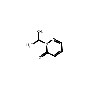 CC(C)n1ncccc1=O